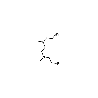 CC(C)CCN(C)CCN(C)CCC(C)C